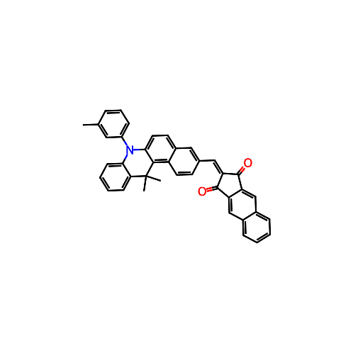 Cc1cccc(N2c3ccccc3C(C)(C)c3c2ccc2cc(C=C4C(=O)c5cc6ccccc6cc5C4=O)ccc32)c1